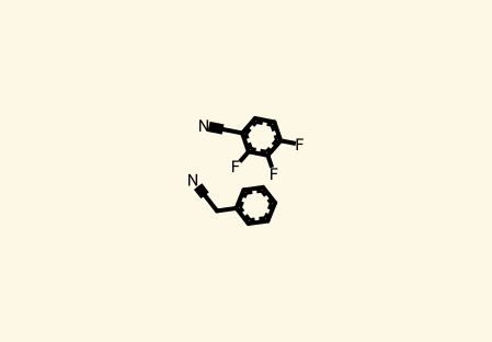 N#CCc1ccccc1.N#Cc1ccc(F)c(F)c1F